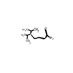 CC(C)N(CCCC(N)=O)C(C)C